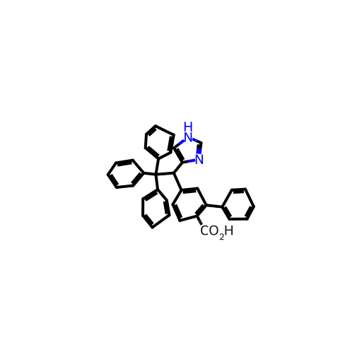 O=C(O)c1ccc(C(c2c[nH]cn2)C(c2ccccc2)(c2ccccc2)c2ccccc2)cc1-c1ccccc1